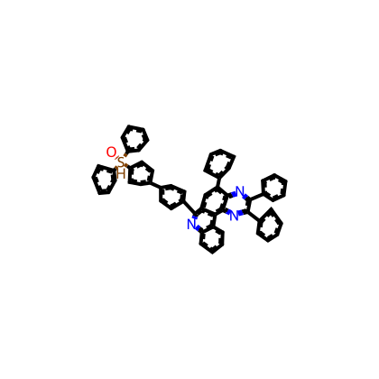 O=[SH](c1ccccc1)(c1ccccc1)c1ccc(-c2ccc(-c3nc4ccccc4c4c3cc(-c3ccccc3)c3nc(-c5ccccc5)c(-c5ccccc5)nc34)cc2)cc1